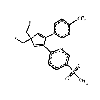 CS(=O)(=O)c1ccc(C2=CC(CF)(CF)C=C2c2ccc(C(F)(F)F)cc2)nc1